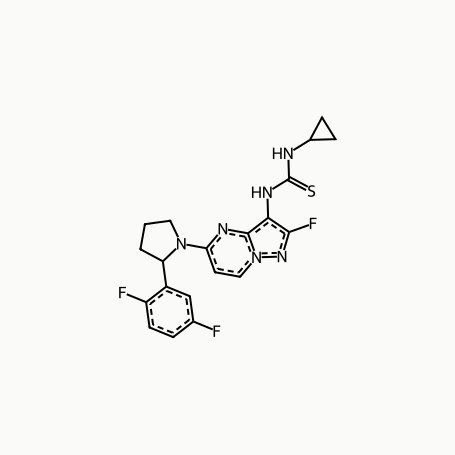 Fc1ccc(F)c(C2CCCN2c2ccn3nc(F)c(NC(=S)NC4CC4)c3n2)c1